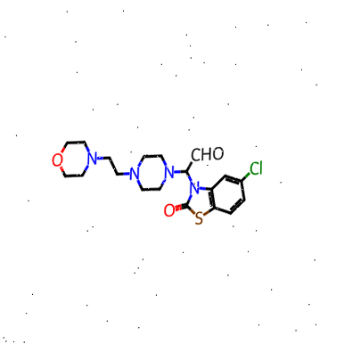 O=CC(N1CCN(CCN2CCOCC2)CC1)n1c(=O)sc2ccc(Cl)cc21